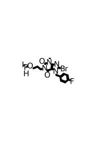 Cn1c(=O)n(CCCOPI)c(=O)c2c1nc(Br)n2Cc1ccc(F)cc1